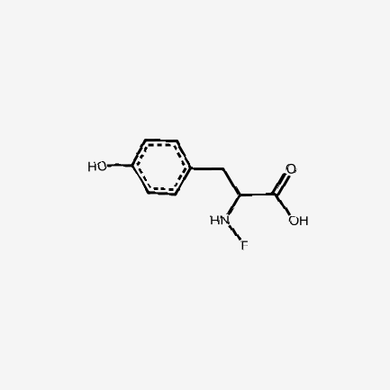 O=C(O)C(Cc1ccc(O)cc1)NF